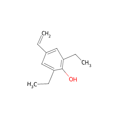 C=Cc1cc(CC)c(O)c(CC)c1